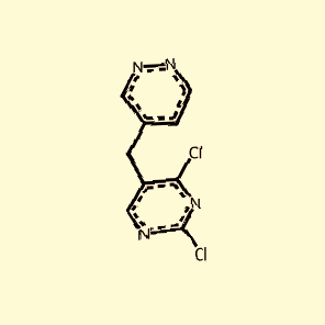 Clc1ncc(Cc2ccnnc2)c(Cl)n1